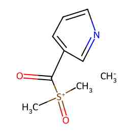 C[S+](C)(=O)C(=O)c1cccnc1.[CH3-]